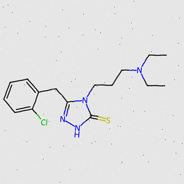 CCN(CC)CCCn1c(Cc2ccccc2Cl)n[nH]c1=S